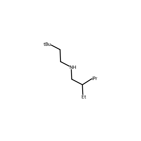 CCC(CNCCC(C)(C)C)C(C)C